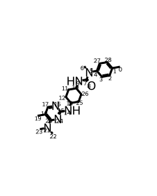 Cc1ccc(N(C)C(=O)NC2CCC(Nc3ncc(C)c(N(C)C)n3)CC2)cc1